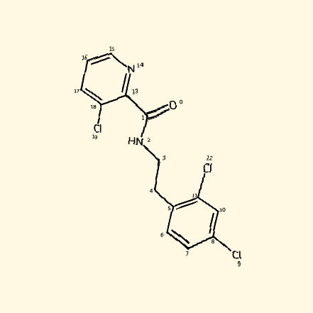 O=C(NCCc1ccc(Cl)cc1Cl)c1ncccc1Cl